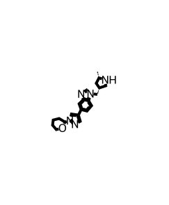 C[C@H]1C[C@@H](Cn2cnc3cc(-c4cnn(C5CCCCO5)c4)ccc32)CN1